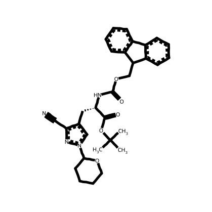 CC(C)(C)OC(=O)[C@H](Cc1cn(C2CCCCO2)nc1C#N)NC(=O)OCC1c2ccccc2-c2ccccc21